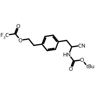 CC(C)(C)OC(=O)NC(C#N)Cc1ccc(CCOC(=O)C(F)(F)F)cc1